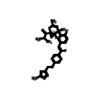 Cc1nnc(COc2cnc(/C(F)=C/c3ccc(F)c([C@@]4(C)N=C(N)S[C@@]5(C(=O)N(C)C)C[C@H]54)c3)cn2)o1